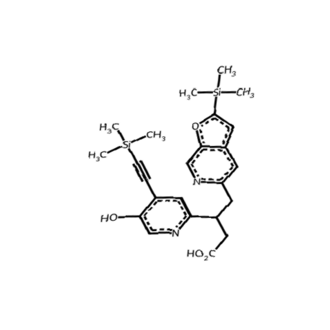 C[Si](C)(C)C#Cc1cc(C(CC(=O)O)Cc2cc3cc([Si](C)(C)C)oc3cn2)ncc1O